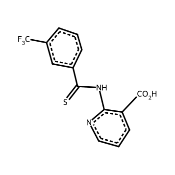 O=C(O)c1cccnc1NC(=S)c1cccc(C(F)(F)F)c1